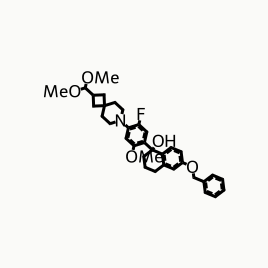 COc1cc(N2CCC3(CC2)CC(C(OC)OC)C3)c(F)cc1C1(O)CCCc2cc(OCc3ccccc3)ccc21